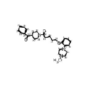 CN1CCN(c2ccccc2OCCCCC(=O)N2CCC(C(=O)c3ccccc3)CC2)CC1